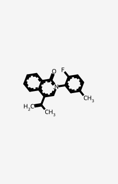 C=C(C)c1cn(-c2cc(C)ccc2F)c(=O)c2ccccc12